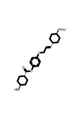 CCCCC[C@H]1CC[C@H](/C=C/COc2ccc(OC(=O)[C@H]3CC[C@H](CCCC)CC3)cc2)CC1